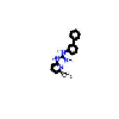 Cc1cccc(NC(=N)Nc2cccc(-c3ccccc3)c2)n1